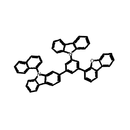 c1ccc2c(-n3c4ccccc4c4ccc(-c5cc(-c6cccc7c6oc6ccccc67)cc(-n6c7ccccc7c7ccccc76)c5)cc43)cccc2c1